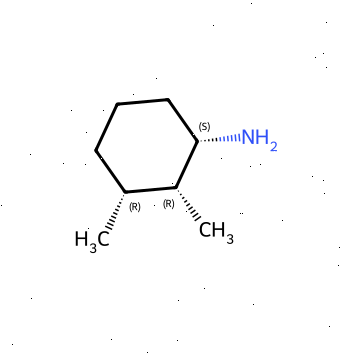 C[C@@H]1[C@H](C)CCC[C@@H]1N